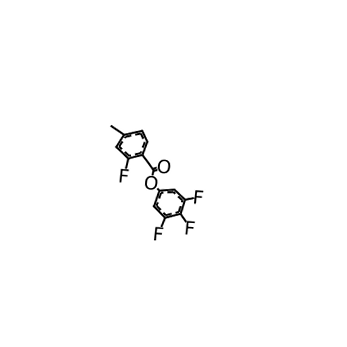 Cc1ccc(C(=O)Oc2cc(F)c(F)c(F)c2)c(F)c1